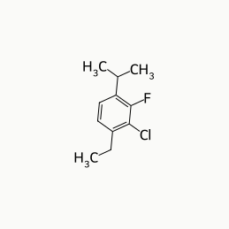 CCc1ccc(C(C)C)c(F)c1Cl